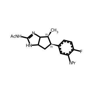 CCCc1cc([C@H]2CC3NC(NC(C)=O)=NC3[C@H]2C)ccc1F